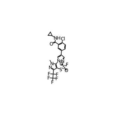 Cn1nc(C(F)(F)C(F)(F)F)c(SS(=O)(=O)F)c1-n1cc(-c2ccc(Cl)c(C(=O)NC3CC3)c2)cn1